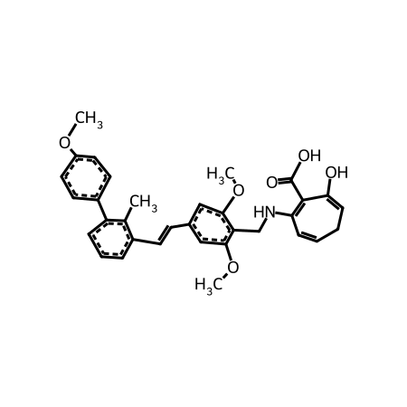 COc1ccc(-c2cccc(/C=C/c3cc(OC)c(CNC4=C(C(=O)O)C(O)=CCC=C4)c(OC)c3)c2C)cc1